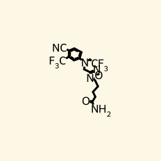 N#Cc1ccc(N(Cc2noc(CCCC(N)=O)n2)CC(F)(F)F)cc1C(F)(F)F